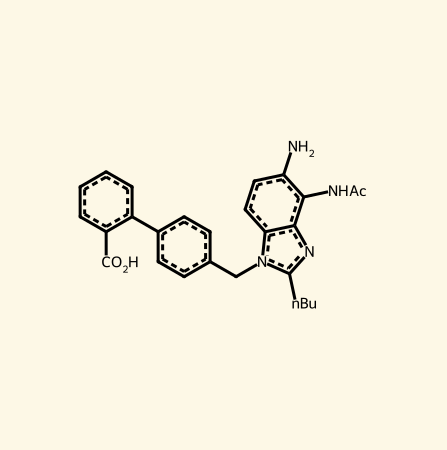 CCCCc1nc2c(NC(C)=O)c(N)ccc2n1Cc1ccc(-c2ccccc2C(=O)O)cc1